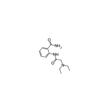 CCN(CC)CC(=O)Nc1ccccc1C(N)=O